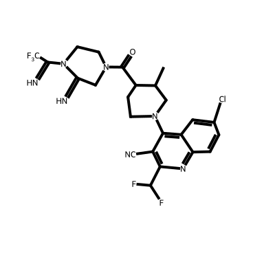 CC1CN(c2c(C#N)c(C(F)F)nc3ccc(Cl)cc23)CCC1C(=O)N1CCN(C(=N)C(F)(F)F)C(=N)C1